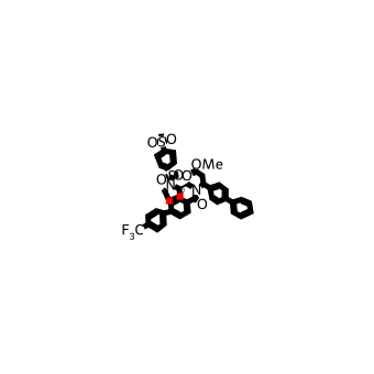 COC(=O)CC(c1ccc(-c2ccccc2)cc1)N(C[C@H]1CCCN1S(=O)(=O)c1ccc(S(C)(=O)=O)cc1)C(=O)c1ccc(-c2ccc(C(F)(F)F)cc2)cc1